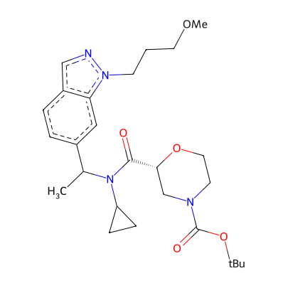 COCCCn1ncc2ccc(C(C)N(C(=O)[C@H]3CN(C(=O)OC(C)(C)C)CCO3)C3CC3)cc21